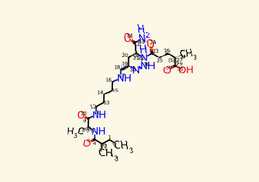 CC[C@@H](C)C(=O)N[C@H](C)C(=O)NCCCCCN/C=C(/C[C@H](NC(=O)CC[C@H](C)C(=O)O)C(N)=O)N=N